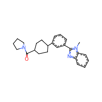 Cn1c(-c2cccc(C3CCC(C(=O)N4CCCC4)CC3)c2)nc2ccccc21